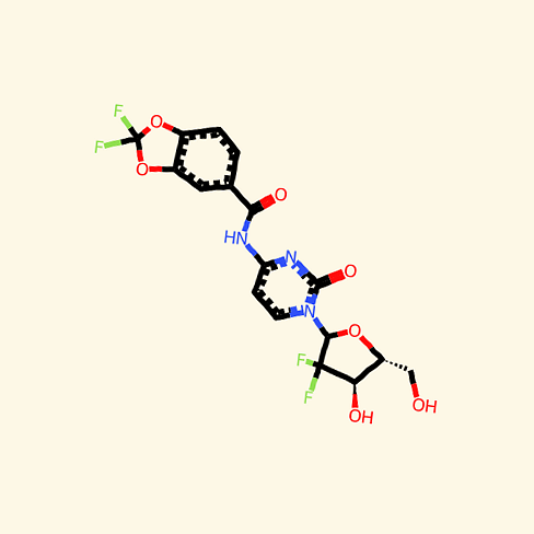 O=C(Nc1ccn(C2O[C@H](CO)[C@@H](O)C2(F)F)c(=O)n1)c1ccc2c(c1)OC(F)(F)O2